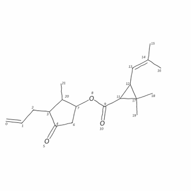 C=CCC1C(=O)CC(OC(=O)C2C(C=C(C)C)C2(C)C)C1C